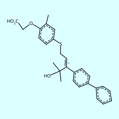 Cc1cc(SC/C=C(/c2ccc(-c3ccccc3)cc2)C(C)(C)O)ccc1OCC(=O)O